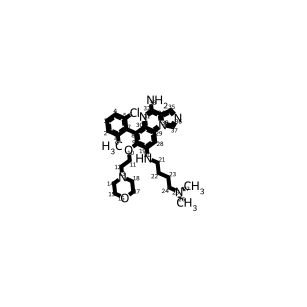 Cc1cccc(Cl)c1-c1c(OCCN2CCOCC2)c(NCCCCN(C)C)cc2c1nc(N)c1cncn12